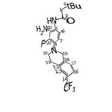 CC(C)(C)CC(=O)Nc1ccc(N2CCc3cc(C(F)(F)F)ccc3C2)c(F)c1N